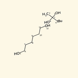 CC(C)(C)C(C)(O)O.OCCCCCCO